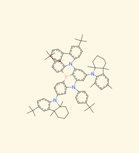 Cc1cc(C)c2c(c1)C1(C)CCCCC1(C)N2c1cc2c3c(c1)N(c1ccc(C(C)(C)C)cc1-c1ccccc1)c1cc(C(C)(C)C)ccc1B3c1ccc(N3c4ccc(C(C)(C)C)cc4C4(C)CCCCC34C)cc1N2c1ccc(C(C)(C)C)cc1